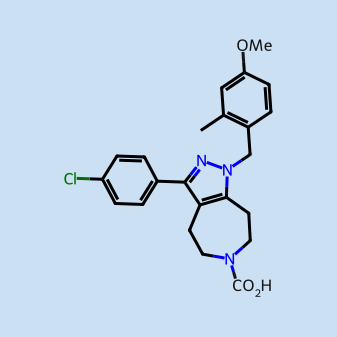 COc1ccc(Cn2nc(-c3ccc(Cl)cc3)c3c2CCN(C(=O)O)CC3)c(C)c1